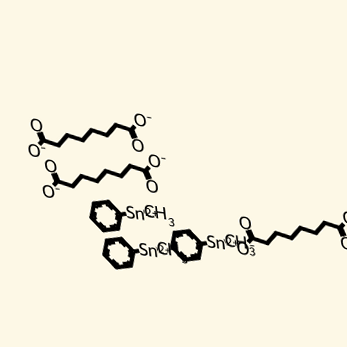 O=C([O-])CCCCCCC(=O)[O-].O=C([O-])CCCCCCC(=O)[O-].O=C([O-])CCCCCCC(=O)[O-].[CH3][Sn+2][c]1ccccc1.[CH3][Sn+2][c]1ccccc1.[CH3][Sn+2][c]1ccccc1